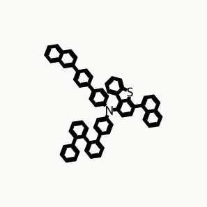 c1ccc(-c2ccccc2-c2ccccc2-c2ccc(N(c3ccc(-c4ccc(-c5ccc6ccccc6c5)cc4)cc3)c3ccc(-c4cccc5ccccc45)c4sc5ccccc5c34)cc2)cc1